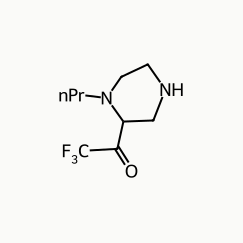 [CH2]CCN1CCNCC1C(=O)C(F)(F)F